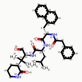 CC(C)C[C@H](NC(=O)[C@H](Cc1cccc2ccccc12)NC(=O)Cc1ccccc1)C(=O)N[C@H](C=O)C(C)(C)[C@@H]1CCCNC1=O